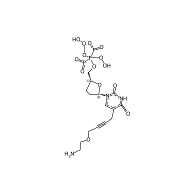 NCCOCC#CCc1cn([C@H]2CC[C@@H](COP(OO)(OOO)(P(=O)=O)P(=O)=O)O2)c(=O)[nH]c1=O